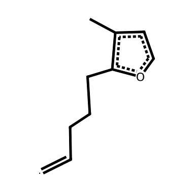 [CH]=CCCCc1occc1C